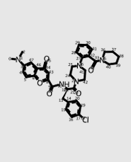 CN(C)c1ccc2oc(C(=O)N[C@H](Cc3ccc(Cl)cc3)C(=O)N3CCN(c4ccccc4C(=O)N4CCCCC4)CC3)cc(=O)c2c1